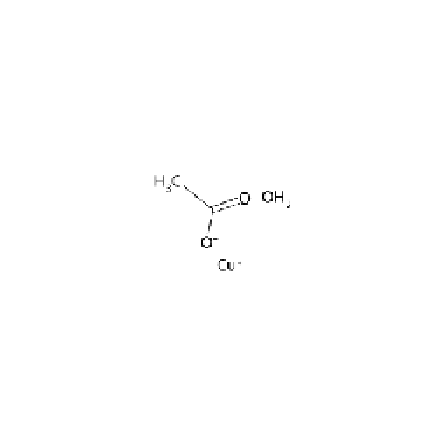 CC(=O)[O-].O.[Cu+]